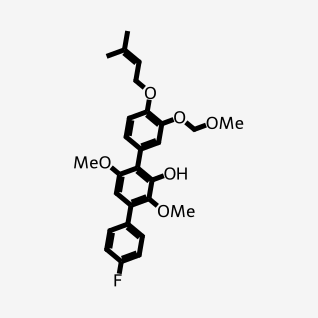 COCOc1cc(-c2c(OC)cc(-c3ccc(F)cc3)c(OC)c2O)ccc1OCC=C(C)C